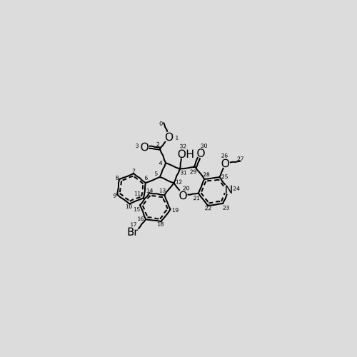 COC(=O)C1C(c2ccccc2)C2(c3ccc(Br)cc3)Oc3ccnc(OC)c3C(=O)C12O